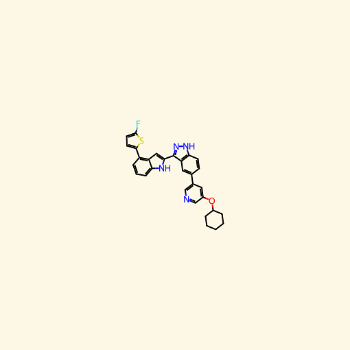 Fc1ccc(-c2cccc3[nH]c(-c4n[nH]c5ccc(-c6cncc(OC7CCCCC7)c6)cc45)cc23)s1